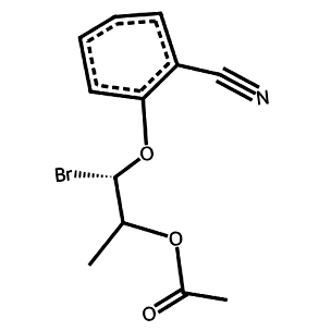 CC(=O)OC(C)[C@H](Br)Oc1ccccc1C#N